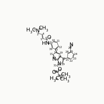 CN(C)CC=CC(=O)Nc1cccc(-c2cnc3c(c2)c(-c2cccc(C#N)c2)cn3COC(=O)C(C)(C)C)c1